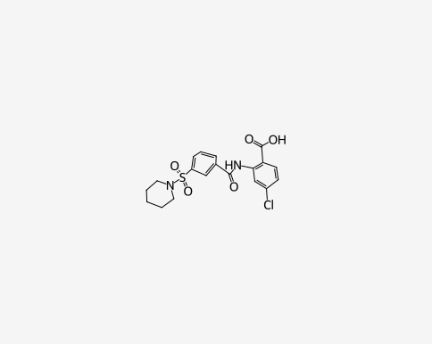 O=C(Nc1cc(Cl)ccc1C(=O)O)c1cccc(S(=O)(=O)N2CCCCC2)c1